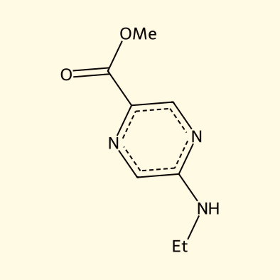 CCNc1cnc(C(=O)OC)cn1